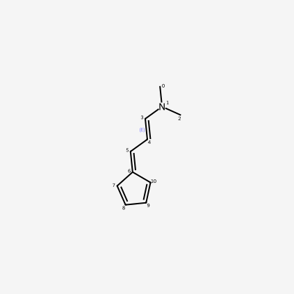 CN(C)/C=C/C=C1C=CC=C1